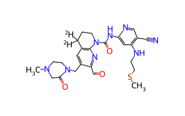 [2H]C1([2H])CCN(C(=O)Nc2cc(NCCSC)c(C#N)cn2)c2nc(C=O)c(CN3CCN(C)CC3=O)cc21